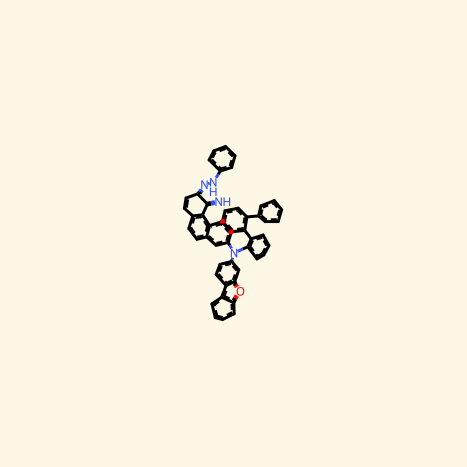 N=C1/C(=N\Nc2ccccc2)C=Cc2ccc3cc(N(c4ccc5c(c4)oc4ccccc45)c4ccccc4-c4ccccc4-c4ccccc4)ccc3c21